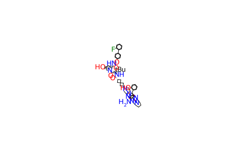 CC(C)(C)[C@H](NC(=O)[C@H]1CC2(C1)C[C@H](N1CCC(c3cnc(N4C5CCC4CN(c4cc(-c6ccccc6O)nnc4N)C5)nc3)CC1)C2)C(=O)N1C[C@H](O)C[C@H]1C(=O)NOc1ccc(-c2ccccc2F)cc1